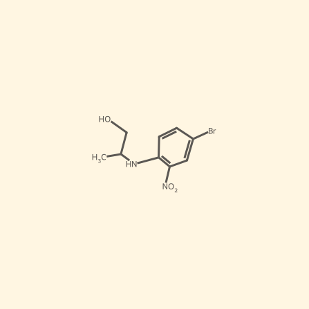 CC(CO)Nc1ccc(Br)cc1[N+](=O)[O-]